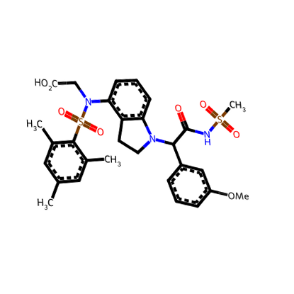 COc1cccc(C(C(=O)NS(C)(=O)=O)N2CCc3c2cccc3N(CC(=O)O)S(=O)(=O)c2c(C)cc(C)cc2C)c1